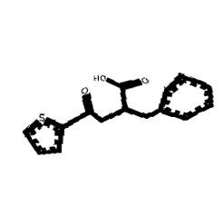 O=C(CC(Cc1ccccc1)C(=O)O)c1cccs1